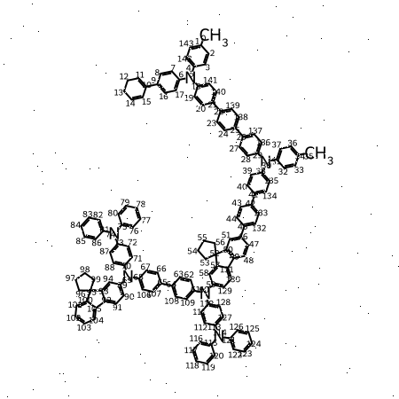 Cc1ccc(N(c2ccc(C3=CCCC=C3)cc2)c2ccc(-c3ccc(-c4ccc(N(c5ccc(C)cc5)c5ccc(-c6ccc(-c7ccc8c(c7)C7(CCCC7)c7cc(N(c9ccc(-c%10ccc(N(c%11ccc(N(c%12ccccc%12)c%12ccccc%12)cc%11)c%11ccc%12c(c%11)C%11(CCCC%11)c%11ccccc%11-%12)cc%10)cc9)c9ccc(N(c%10ccccc%10)c%10ccccc%10)cc9)ccc7-8)cc6)cc5)cc4)cc3)cc2)cc1